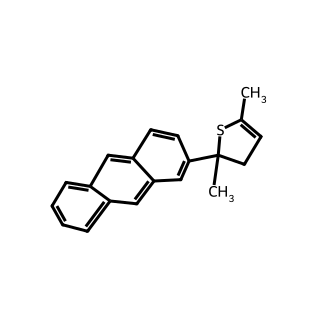 CC1=CCC(C)(c2ccc3cc4ccccc4cc3c2)S1